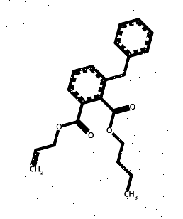 C=CCOC(=O)c1cccc(Cc2ccccc2)c1C(=O)OCCCC